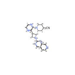 N#CC1CCN(c2nccnc2C2CN(c3ncc4ccncc4n3)C2)CC1